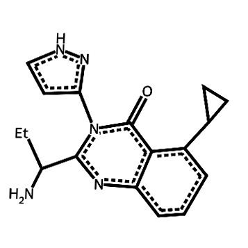 CCC(N)c1nc2cccc(C3CC3)c2c(=O)n1-c1cc[nH]n1